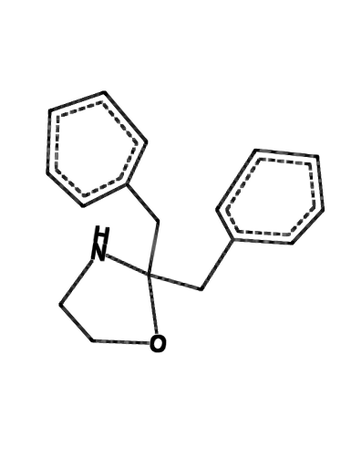 c1ccc(CC2(Cc3ccccc3)NCCO2)cc1